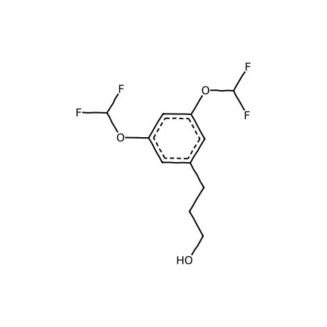 OCCCc1cc(OC(F)F)cc(OC(F)F)c1